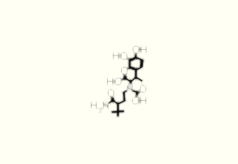 CC(c1ccc(O)c(O)c1)C(C(=O)O)N(CCC(C(N)=O)C(C)(C)C)C(=O)O